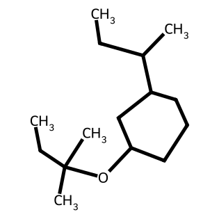 CCC(C)C1CCCC(OC(C)(C)CC)C1